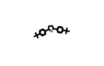 CC(C)(C)c1ccc(C2CCC(c3ccc(C(C)(C)C)cc3)[N]2)cc1